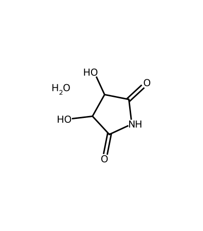 O.O=C1NC(=O)C(O)C1O